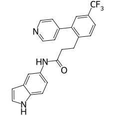 O=C(CCc1ccc(C(F)(F)F)cc1-c1ccncc1)Nc1ccc2[nH]ccc2c1